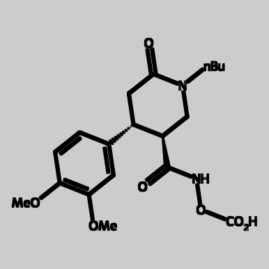 CCCCN1C[C@@H](C(=O)NOC(=O)O)[C@H](c2ccc(OC)c(OC)c2)CC1=O